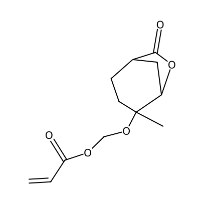 C=CC(=O)OCOC1(C)CCC2CC1OC2=O